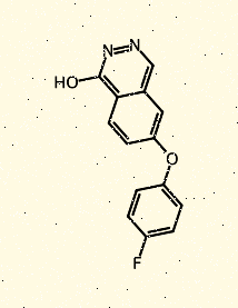 Oc1nncc2cc(Oc3ccc(F)cc3)ccc12